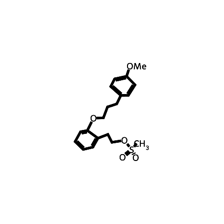 COc1ccc(CCCOc2ccccc2CCOS(C)(=O)=O)cc1